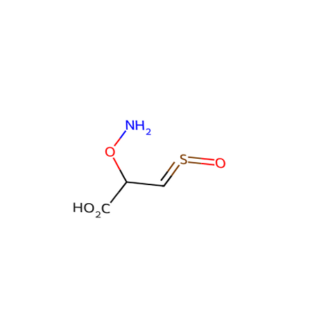 NOC(C=S=O)C(=O)O